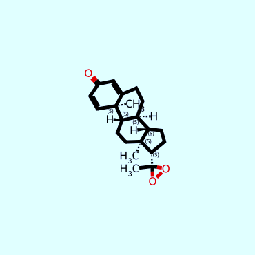 CC1([C@H]2CC[C@H]3[C@@H]4CCC5=CC(=O)C=C[C@]5(C)[C@H]4CC[C@]23C)OO1